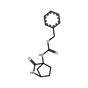 O=C(NC12CCC(C1)NC2=O)OCc1ccccc1